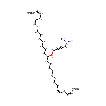 CCCCC/C=C\C/C=C\CCCCCCCCC(CCCCCCCC/C=C\C/C=C\CCCCC)OCC#CCN(CC)CC